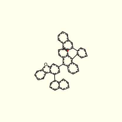 c1ccc(-c2c3ccccc3c(-c3cc(-c4cccc5ccccc45)c4c(c3)oc3ccccc34)c3ccccc23)c(-c2ccc3ccccc3c2)c1